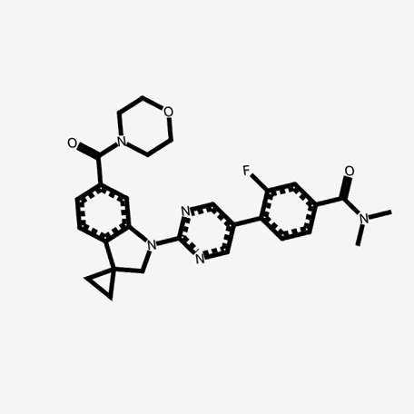 CN(C)C(=O)c1ccc(-c2cnc(N3CC4(CC4)c4ccc(C(=O)N5CCOCC5)cc43)nc2)c(F)c1